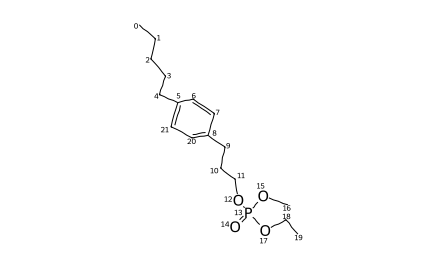 CCCCCc1ccc(CCCOP(=O)(OC)OCC)cc1